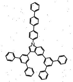 c1ccc(-c2ccc(-c3ccc(-n4cc(-c5cc(-c6ccccc6)cc(-c6ccccc6)c5)c5cc(-c6cc(-c7ccccc7)cc(-c7ccccc7)c6)ccc54)cc3)cc2)cc1